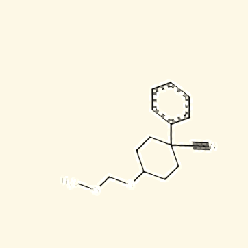 COCOC1CCC(C#N)(c2ccccc2)CC1